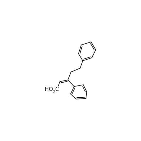 O=C(O)C=C(CCc1ccccc1)c1ccccc1